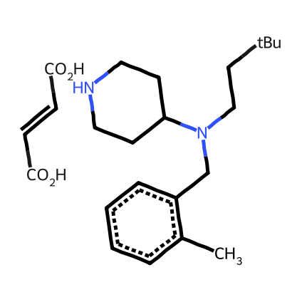 Cc1ccccc1CN(CCC(C)(C)C)C1CCNCC1.O=C(O)C=CC(=O)O